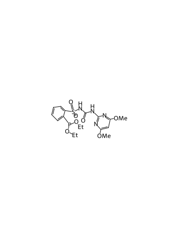 CCOP(OCC)c1ccccc1S(=O)(=O)NC(=O)Nc1nc(OC)cc(OC)n1